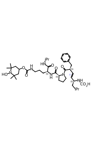 CC(C)C[C@@H](/C=C/[C@H](Cc1ccccc1)C(=O)N1CCC[C@H]1C(=O)N[C@@H](CCCNC(=O)OC1CC(C)(C)N(O)C(C)(C)C1)C(=O)NC(C)C)NC(=O)O